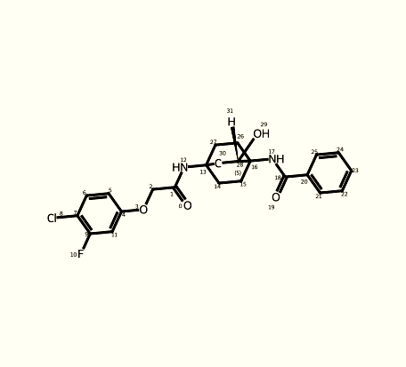 O=C(COc1ccc(Cl)c(F)c1)NC12CCC(NC(=O)c3ccccc3)(CC1)[C@@H](O)C2